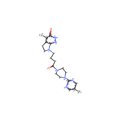 O=C(CCCN1CCc2c1n[nH]c(=O)c2C(F)(F)F)N1CCN(c2ncc(C(F)(F)F)cn2)CC1